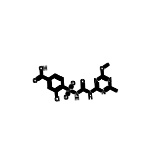 COc1nc(C)nc(NC(=O)NS(=O)(=O)c2ccc(C(=O)O)cc2Cl)n1